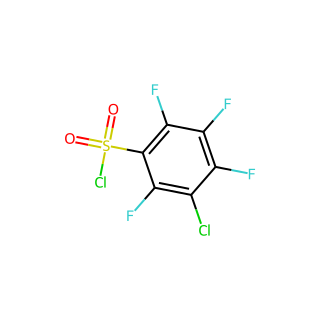 O=S(=O)(Cl)c1c(F)c(F)c(F)c(Cl)c1F